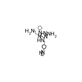 NCCc1nc2c(NCc3ccc(-n4cccn4)cc3)nc(N)nc2n1C1CCCC1